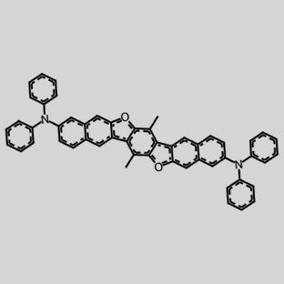 Cc1c2oc3cc4cc(N(c5ccccc5)c5ccccc5)ccc4cc3c2c(C)c2oc3cc4cc(N(c5ccccc5)c5ccccc5)ccc4cc3c12